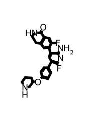 Nc1nc(F)c(-c2ccc(O[C@@H]3CCCNC3)cc2)cc1-c1cc2c(cc1F)C(=O)NCC2